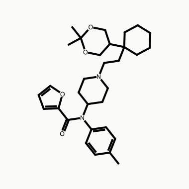 Cc1ccc(N(C(=O)c2ccco2)C2CCN(CCC3(C4COC(C)(C)OC4)CCCCC3)CC2)cc1